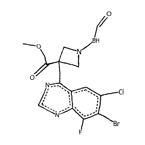 COC(=O)C1(c2ncnc3c(F)c(Br)c(Cl)cc23)CN(BC=O)C1